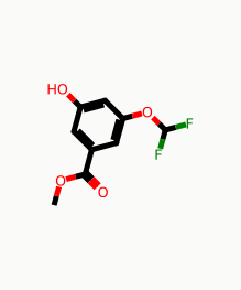 COC(=O)c1cc(O)cc(OC(F)F)c1